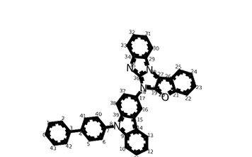 c1ccc(-c2ccc(-n3c4ccccc4c4cc(-n5c6oc7ccccc7c6n6c7ccccc7nc56)ccc43)cc2)cc1